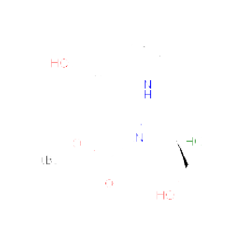 CC(C)(C)OC(=O)N1CC[C@H]1CO.Cl.OC[C@@H]1CCN1